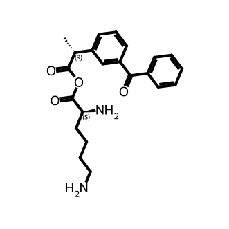 C[C@@H](C(=O)OC(=O)[C@@H](N)CCCCN)c1cccc(C(=O)c2ccccc2)c1